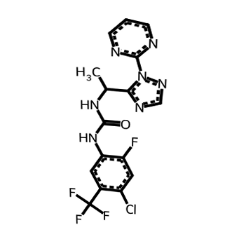 CC(NC(=O)Nc1cc(C(F)(F)F)c(Cl)cc1F)c1ncnn1-c1ncccn1